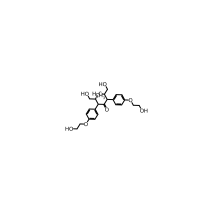 CC(CO)C(C(=O)C(c1ccc(OCCO)cc1)C(C)CO)c1ccc(OCCO)cc1